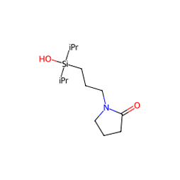 CC(C)[Si](O)(CCCN1CCCC1=O)C(C)C